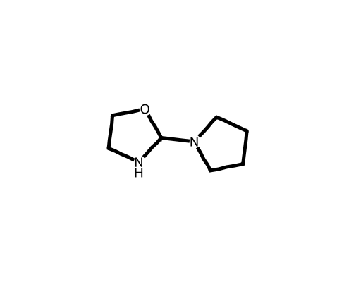 C1CCN([C]2NCCO2)C1